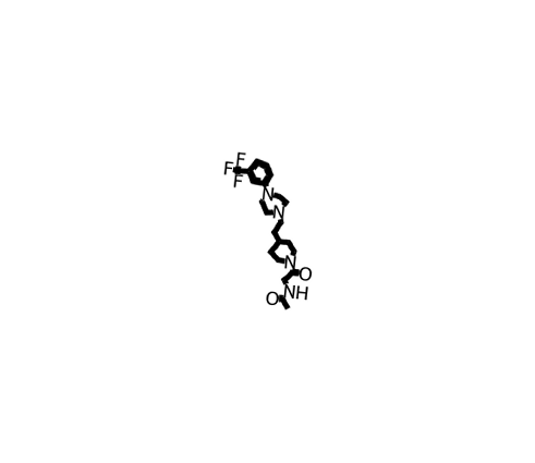 CC(=O)NCC(=O)N1CCC(CCN2CCN(c3cccc(C(F)(F)F)c3)CC2)CC1